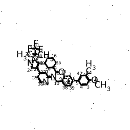 COc1ccc(C23CCC(CN(C(=O)C4CCCCC4)c4cc(-c5cnn(C(C)(C)C(F)(F)F)c5)ccn4)(CC2)CC3)cc1C